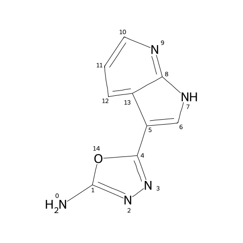 Nc1nnc(-c2c[nH]c3ncccc23)o1